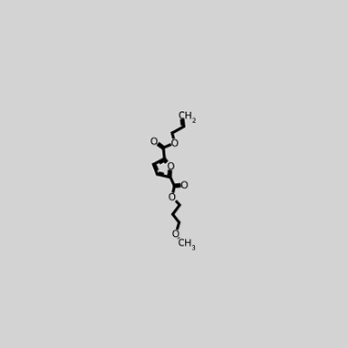 C=CCOC(=O)c1ccc(C(=O)OCCCOC)o1